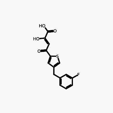 O=C(O)C(O)=CC(=O)c1cc(Cc2cccc(F)c2)cs1